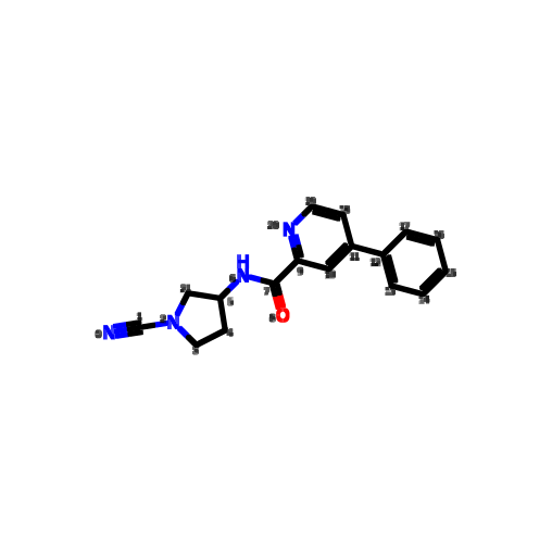 N#CN1CCC(NC(=O)c2cc(-c3ccccc3)ccn2)C1